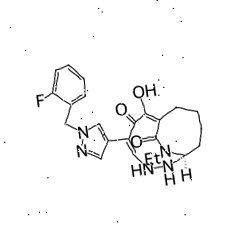 CCN1C(=O)/C2=C(\O)C(=O)/C(c3cnn(Cc4ccccc4F)c3)=C\NN[C@@H]1CCCC2